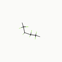 [CH2]C(F)(F)C(F)C(F)(F)C(F)(F)C(F)(F)F